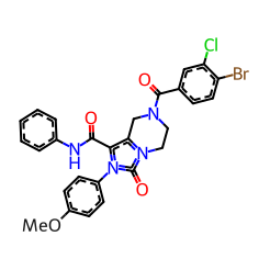 COc1ccc(-n2c(C(=O)Nc3ccccc3)c3n(c2=O)CCN(C(=O)c2ccc(Br)c(Cl)c2)C3)cc1